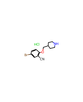 Cl.N#Cc1cc(Br)ccc1OCC1CCNCC1